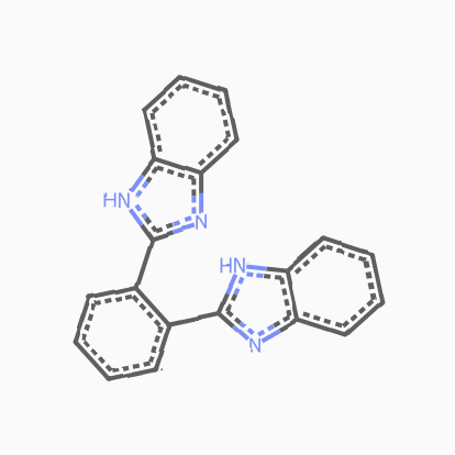 [c]1cccc(-c2nc3ccccc3[nH]2)c1-c1nc2ccccc2[nH]1